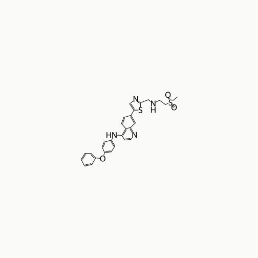 CS(=O)(=O)CCNCc1ncc(-c2ccc3c(Nc4ccc(Oc5ccccc5)cc4)ccnc3c2)s1